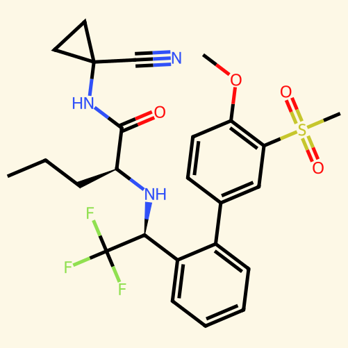 CCC[C@H](N[C@@H](c1ccccc1-c1ccc(OC)c(S(C)(=O)=O)c1)C(F)(F)F)C(=O)NC1(C#N)CC1